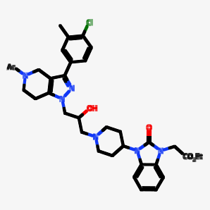 CCOC(=O)Cn1c(=O)n(C2CCN(CC(O)Cn3nc(-c4ccc(Cl)c(C)c4)c4c3CCN(C(C)=O)C4)CC2)c2ccccc21